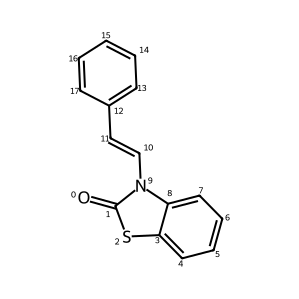 O=c1sc2ccccc2n1/C=C/c1ccccc1